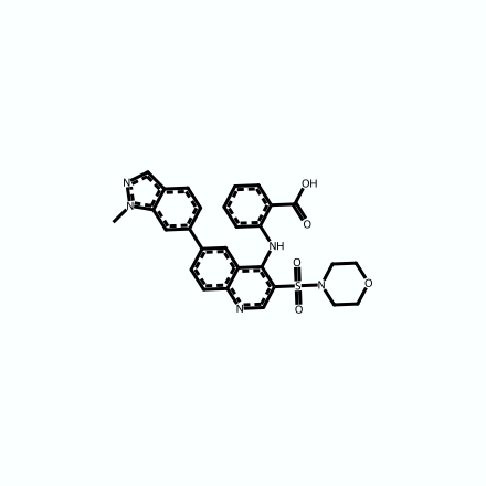 Cn1ncc2ccc(-c3ccc4ncc(S(=O)(=O)N5CCOCC5)c(Nc5ccccc5C(=O)O)c4c3)cc21